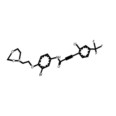 O=C(C#Cc1ccc(C(F)(F)F)cc1Cl)Nc1ccc(OCCN2CCOCC2)c(Br)c1